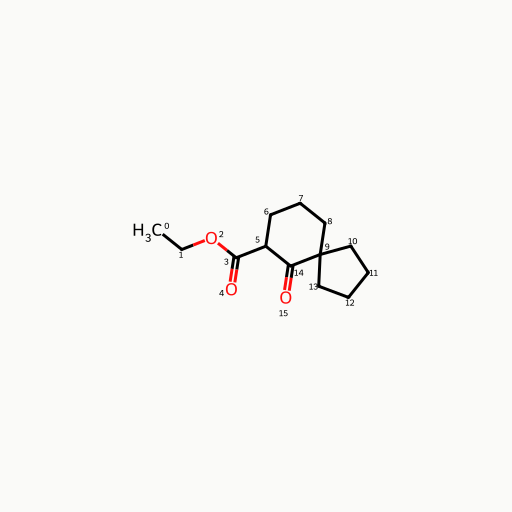 CCOC(=O)C1CCCC2(CCCC2)C1=O